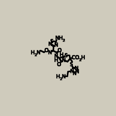 NCCON=C(C(=O)NC1C(=O)N2CC(CSc3nnnn3CCN)(C(=O)O)CS[C@H]12)c1nsc(N)n1